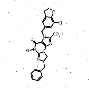 CCN1C(=O)c2c(nc(C(=O)O)n2Cc2cc(Cl)c3c(c2)CCO3)N2C[C@@H](Cc3ccccc3)N=C12